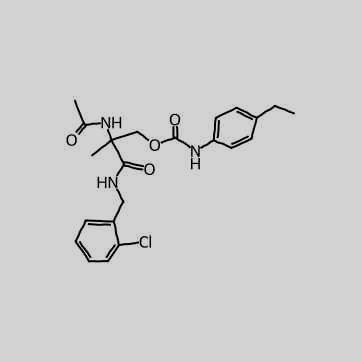 CCc1ccc(NC(=O)OCC(C)(NC(C)=O)C(=O)NCc2ccccc2Cl)cc1